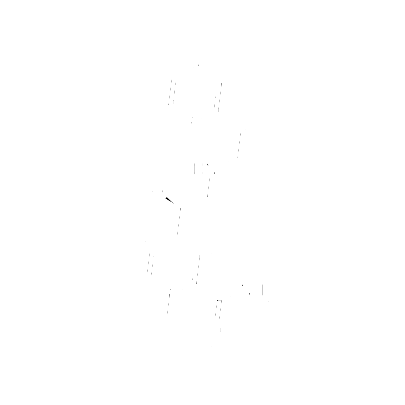 CC(Cc1ccccc1)NC[C@H](O)c1ccc(O)c(C(N)=O)c1